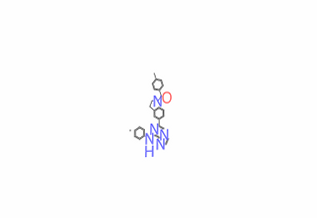 Cc1ccc(C(=O)N2CCc3cc(-c4cn5ccnc5c(Nc5cc[c]cc5)n4)ccc32)cc1